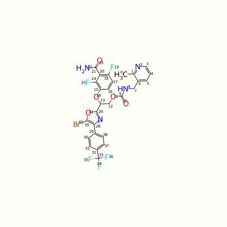 Cc1ncccc1CNC(=O)OCC(Oc1ccc(F)c(C(N)=O)c1F)c1nc(-c2ccc(C(F)(F)F)cc2)c(Br)o1